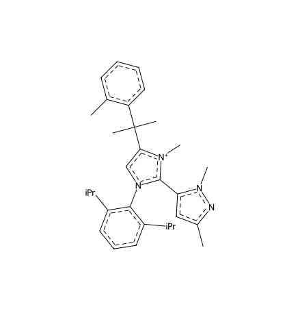 Cc1cc(-c2n(-c3c(C(C)C)cccc3C(C)C)cc(C(C)(C)c3ccccc3C)[n+]2C)n(C)n1